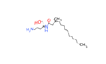 CCCCCCCCCCC[C@@H](C)CC(=O)N[C@@H](CO)CCCN